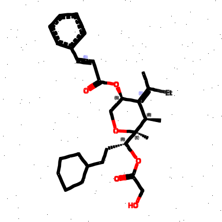 CC/C(C)=C1\[C@@H](C)[C@@](C)([C@@H](CCC2CCCCC2)OC(=O)CO)OC[C@H]1OC(=O)/C=C/c1ccccc1